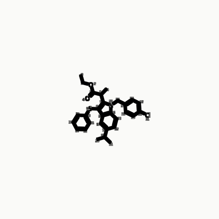 CCOC(=O)C(C)c1c(Sc2ccccc2)c2cc(C(C)C)ccc2n1Cc1ccc(Cl)cc1